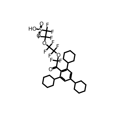 O=C(c1c(C2CCCCC2)cc(C2CCCCC2)cc1C1CCCCC1)C(F)(F)OC(F)(F)C(F)(F)OC(F)(F)C(F)(F)S(=O)(=O)O